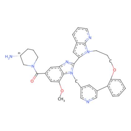 COc1cc(C(=O)N2CCC[C@@H](N)C2)cc2nc3n(c12)Cc1cncc(c1)-c1ccccc1OCCCn1c-3cc2cccnc21